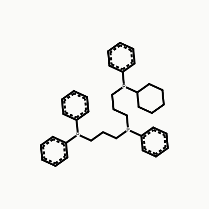 c1ccc(P(CCCP(c2ccccc2)c2ccccc2)CCCP(c2ccccc2)C2CCCCC2)cc1